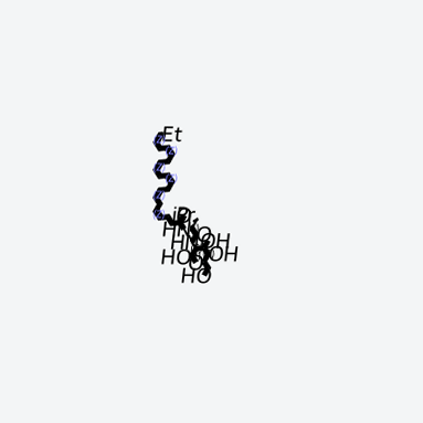 CC/C=C\C/C=C\C/C=C\C/C=C\C/C=C\C/C=C\CCC(=O)N[C@@H](CC(C)C)C(=O)N[C@H]1C(O)[C@H](O)C(CO)O[C@H]1O